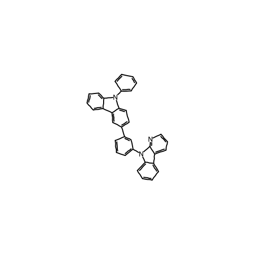 c1ccc(-n2c3ccccc3c3cc(-c4cccc(-n5c6ccccc6c6cccnc65)c4)ccc32)cc1